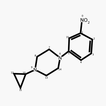 O=[N+]([O-])c1cccc(N2CCN(C3CC3)CC2)c1